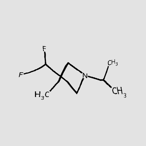 CC(C)N1CC(C)(C(F)F)C1